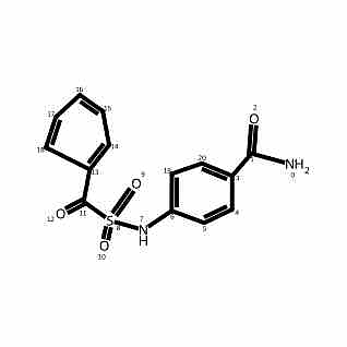 NC(=O)c1ccc(NS(=O)(=O)C(=O)c2ccccc2)cc1